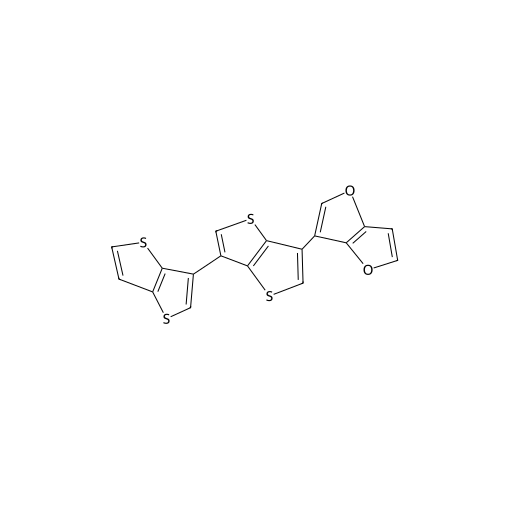 c1cc2occ(-c3csc4c(-c5csc6ccsc56)csc34)c2o1